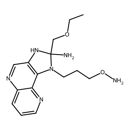 CCOCC1(N)Nc2cnc3cccnc3c2N1CCCON